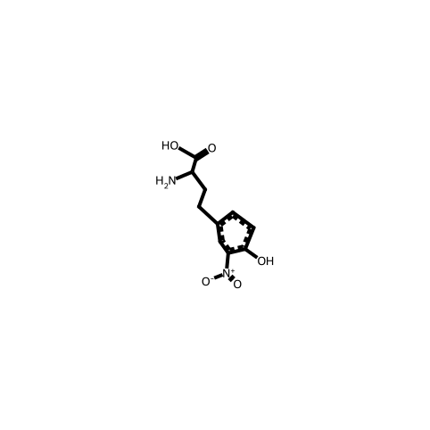 NC(CCc1ccc(O)c([N+](=O)[O-])c1)C(=O)O